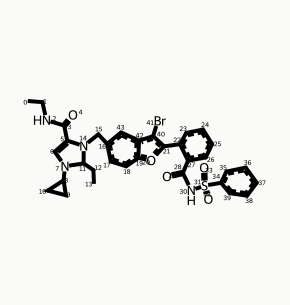 CCNC(=O)C1=CN(C2CC2)C(CC)N1Cc1ccc2oc(-c3ccccc3C(=O)NS(=O)(=O)c3ccccc3)c(Br)c2c1